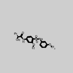 CCOc1cc(NC(=O)[C@@H](O)C(C)C)ccc1S(=O)(=O)Nc1cccc(OC(F)(F)F)c1